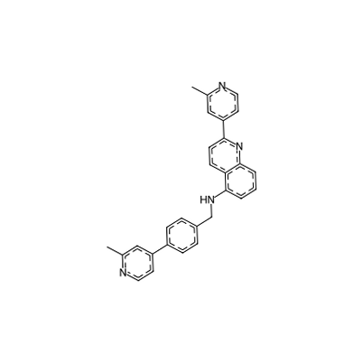 Cc1cc(-c2ccc(CNc3cccc4nc(-c5ccnc(C)c5)ccc34)cc2)ccn1